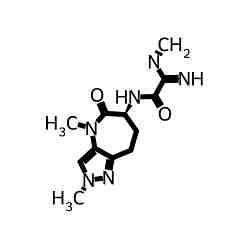 C=NC(=N)C(=O)N[C@H]1CCc2nn(C)cc2N(C)C1=O